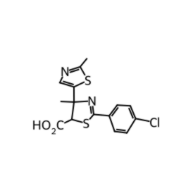 Cc1ncc(C2(C)N=C(c3ccc(Cl)cc3)SC2C(=O)O)s1